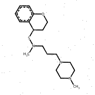 CN1CCN(CCCN(C)SC2CCOc3ccccc32)CC1